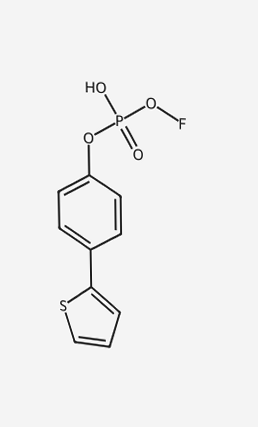 O=P(O)(OF)Oc1ccc(-c2cccs2)cc1